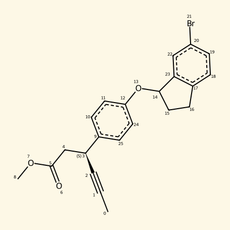 CC#C[C@@H](CC(=O)OC)c1ccc(OC2CCc3ccc(Br)cc32)cc1